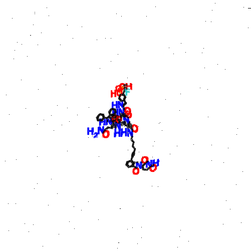 CCCC[C@H](NC(=O)c1cc2cc(C(F)(F)P(=O)(O)O)ccc2[nH]1)C(=O)N1C[C@H](C(=O)NCCCCCC#Cc2cccc3c2CN(C2CCC(=O)NC2=O)C3=O)C[C@H]1C(=O)N[C@@H](CCC(N)=O)C(=O)NC(c1ccccc1)c1ccccc1